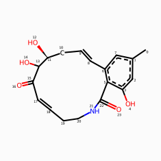 Cc1cc(O)c2c(c1)/C=C/C[C@H](O)C(O)C(=O)/C=C\CCNC2=O